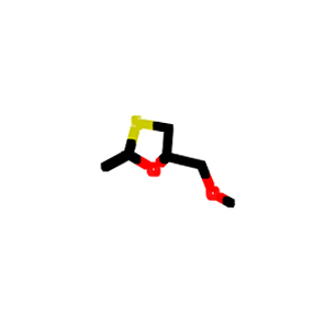 COCC1CS[C](C)O1